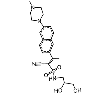 C/C(=C(/C#N)S(=O)(=O)NCC(O)CO)c1ccc2cc(N3CCN(C)CC3)ccc2c1